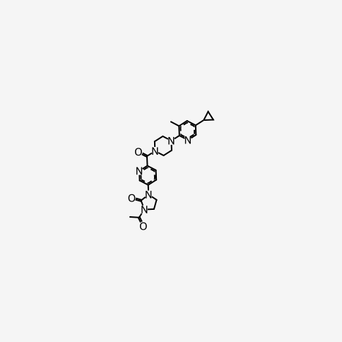 CC(=O)N1CCN(c2ccc(C(=O)N3CCN(c4ncc(C5CC5)cc4C)CC3)nc2)C1=O